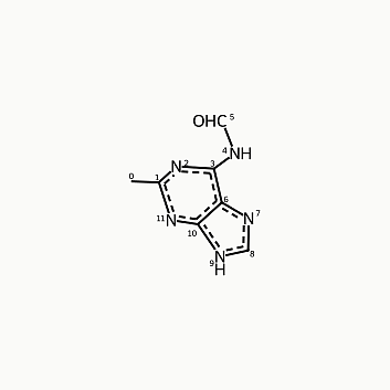 Cc1nc(NC=O)c2nc[nH]c2n1